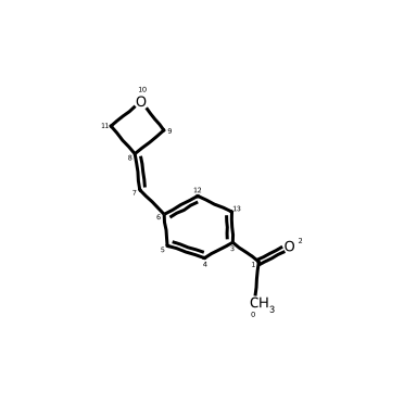 CC(=O)c1ccc(C=C2COC2)cc1